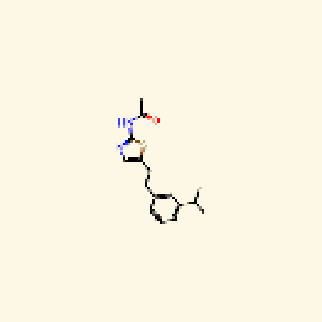 CC(=O)Nc1ncc(CCc2cccc(C(C)C)c2)s1